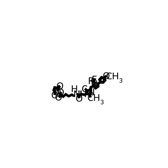 COc1ccc(-c2ccc(/C=C3\N=C(C)C(CCC(=O)NCCCCCC(=O)ON4C(=O)CCC4=O)=C3C)n2B(F)F)cc1